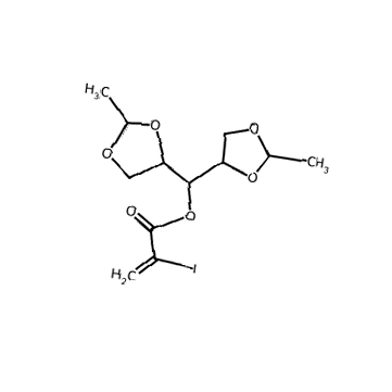 C=C(I)C(=O)OC(C1COC(C)O1)C1COC(C)O1